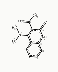 CC(=O)c1c(N(C)C)c2ccccc2[nH]c1=O